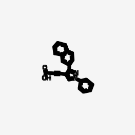 O=C(O)C#Cc1cn(-c2ccccc2)nc1-c1ccc2ccccc2c1